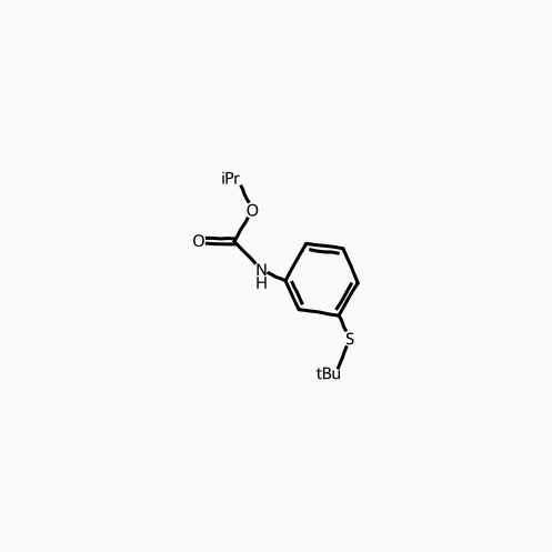 CC(C)OC(=O)Nc1cccc(SC(C)(C)C)c1